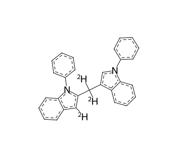 [2H]c1c(C([2H])([2H])c2cn(-c3ccccc3)c3ccccc23)n(-c2ccccc2)c2ccccc12